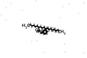 [CH2]CCCCCCCCCCCCCCCCCC.[Cl][Mg][CH2]c1ccccc1